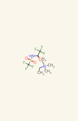 CC[N+](C)(C)C.O=C(NS(=O)(=O)C(F)(F)F)C(F)(F)F